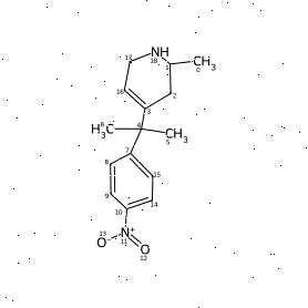 CC1CC(C(C)(C)c2ccc([N+](=O)[O-])cc2)=CCN1